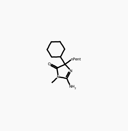 CCCCCC1(C2CCCCC2)N=C(N)N(C)C1=O